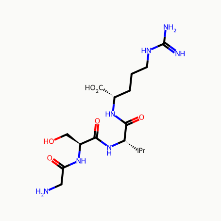 CC(C)[C@H](NC(=O)[C@H](CO)NC(=O)CN)C(=O)N[C@@H](CCCNC(=N)N)C(=O)O